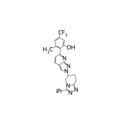 Cc1cc(C(F)(F)F)cc(O)c1-c1ccc2cn(C3CCc4nnc(C(C)C)n4C3)nc2n1